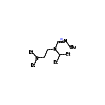 CCC(CC)N(/C=N\C(C)(C)C)CCN(CC)CC